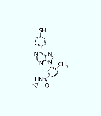 Cc1ccc(C(=O)NC2CC2)cc1-n1cnc2c(-c3ccc(S)cc3)ncnc21